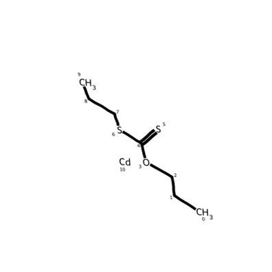 CCCOC(=S)SCCC.[Cd]